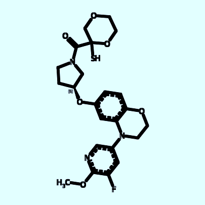 COc1ncc(N2CCOc3ccc(O[C@H]4CCN(C(=O)C5(S)COCCO5)C4)cc32)cc1F